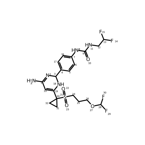 NC1=NC(c2ccc(NC(=O)NCC(F)F)cc2)NC(C2(S(=O)(=O)CCCOC(F)F)CC2)=C1